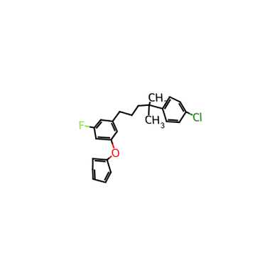 CC(C)(CCCc1cc(F)cc(Oc2ccccc2)c1)c1ccc(Cl)cc1